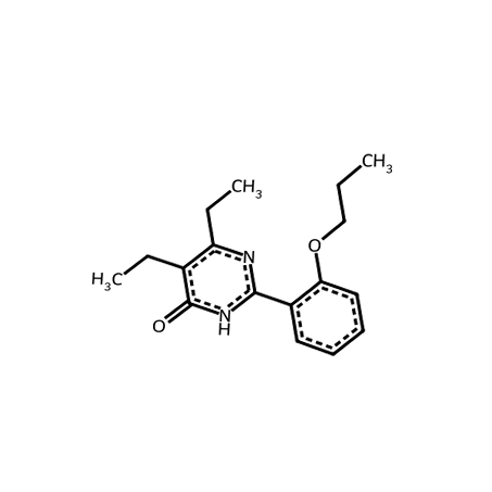 CCCOc1ccccc1-c1nc(CC)c(CC)c(=O)[nH]1